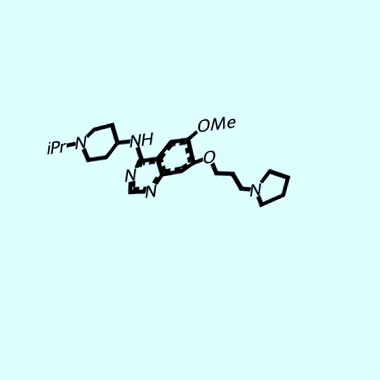 COc1cc2c(NC3CCN(C(C)C)CC3)ncnc2cc1OCCCN1CCCC1